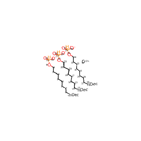 CCCCCCCCCCCCCCCCCCO[PH](=O)[O-].CCCCCCCCCCCCCCCCCCO[PH](=O)[O-].CCCCCCCCCCCCCCCCCCO[PH](=O)[O-].[Cr+3]